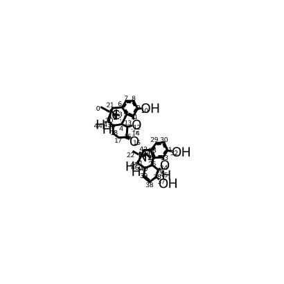 CN1CC[C@]23c4c5ccc(O)c4O[C@@]2(C)C(=O)CC[C@H]3[C@H]1C5.CN1CC[C@]23c4c5ccc(O)c4O[C@H]2[C@@H](O)C=C[C@H]3[C@H]1C5